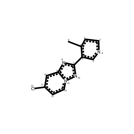 Cc1ccncc1-c1nc2cc(Cl)ccn2n1